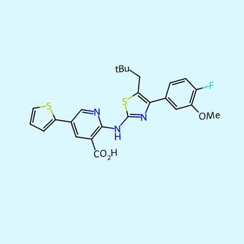 COc1cc(-c2nc(Nc3ncc(-c4cccs4)cc3C(=O)O)sc2CC(C)(C)C)ccc1F